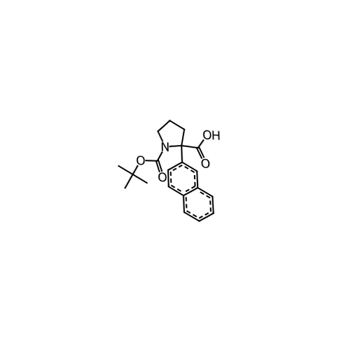 CC(C)(C)OC(=O)N1CCCC1(C(=O)O)c1ccc2ccccc2c1